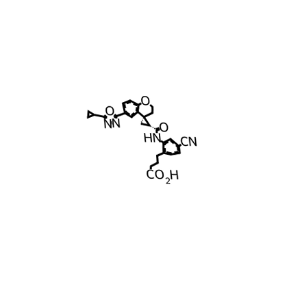 N#Cc1ccc(CCCC(=O)O)c(NC(=O)[C@@H]2C[C@]23CCOc2ccc(-c4nnc(C5CC5)o4)cc23)c1